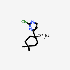 CCOC(=O)C1(c2ccnc(Cl)n2)CCC(C)(C)CC1